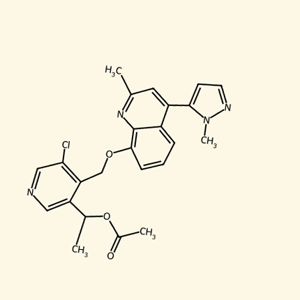 CC(=O)OC(C)c1cncc(Cl)c1COc1cccc2c(-c3ccnn3C)cc(C)nc12